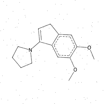 COc1cc2c(cc1OC)C(N1CCCC1)=CC2